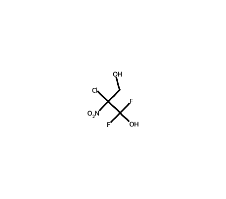 O=[N+]([O-])C(Cl)(CO)C(O)(F)F